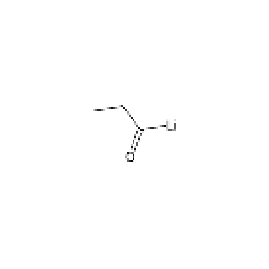 [Li][C](=O)CC